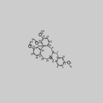 COc1cccc(CC2Cc3ccc(OC)c(OC)c3-c3cc(OC)ccc3CCN2C)c1